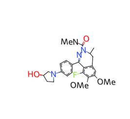 CNC(=O)N1N=C(c2ccc(N3CC[C@@H](O)C3)cc2)c2c(cc(OC)c(OC)c2F)CC1C